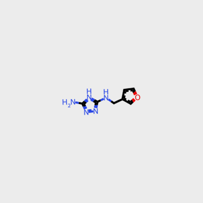 Nc1nnc(NCc2ccoc2)[nH]1